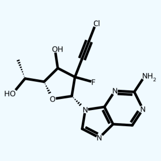 C[C@@H](O)[C@H]1O[C@@H](n2cnc3cnc(N)nc32)C(F)(C#CCl)C1O